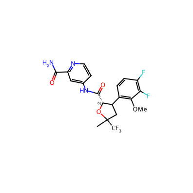 COc1c(C2CC(C)(C(F)(F)F)O[C@@H]2C(=O)Nc2ccnc(C(N)=O)c2)ccc(F)c1F